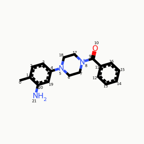 Cc1ccc(N2CCN(C(=O)c3ccccc3)CC2)cc1N